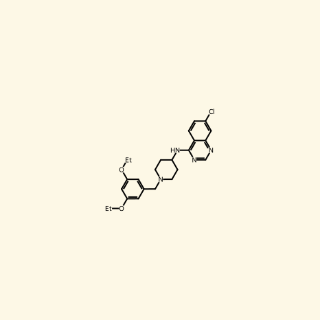 CCOc1cc(CN2CCC(Nc3ncnc4cc(Cl)ccc34)CC2)cc(OCC)c1